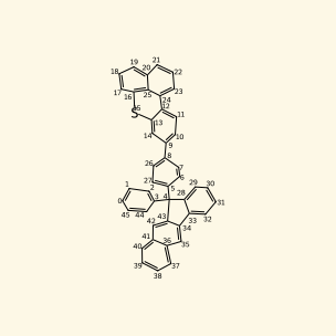 c1ccc(C2(c3ccc(-c4ccc5c(c4)Sc4cccc6cccc-5c46)cc3)c3ccccc3-c3cc4ccccc4cc32)cc1